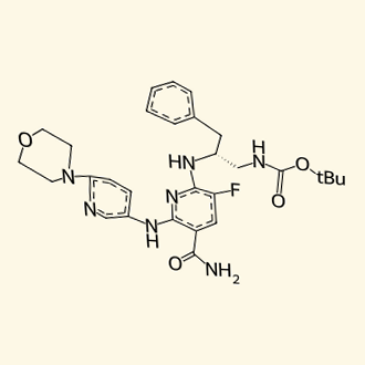 CC(C)(C)OC(=O)NC[C@@H](Cc1ccccc1)Nc1nc(Nc2ccc(N3CCOCC3)nc2)c(C(N)=O)cc1F